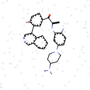 C=C(Nc1cc(N2CCC(N(C)C)CC2)ccc1N)C(=O)c1ccc(O)c(-c2cncc3ccccc23)c1